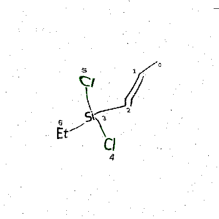 CC=C[Si](Cl)(Cl)CC